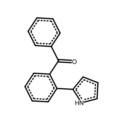 O=C(c1ccccc1)c1ccccc1-c1ccc[nH]1